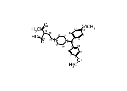 COc1ccc(C(c2ccc(OC)cc2)N2CCN(CCC(C(C)=O)C(=O)O)CC2)cc1